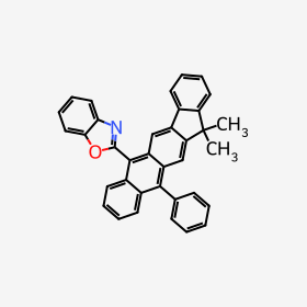 CC1(C)c2ccccc2-c2cc3c(-c4nc5ccccc5o4)c4ccccc4c(-c4ccccc4)c3cc21